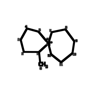 CC1CCCC[N+]12CCCCCC2